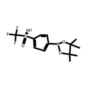 CC1(C)OB(c2ccc(S(=N)(=O)C(F)(F)F)cc2)OC1(C)C